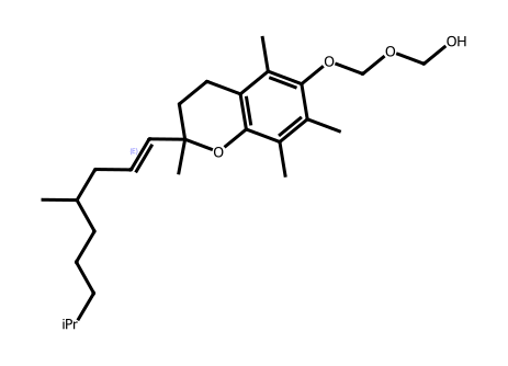 Cc1c(C)c2c(c(C)c1OCOCO)CCC(C)(/C=C/CC(C)CCCC(C)C)O2